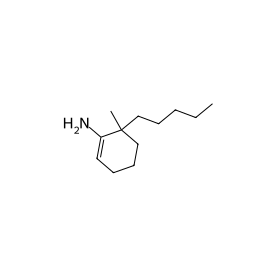 CCCCCC1(C)CCCC=C1N